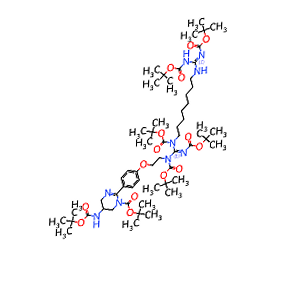 CC(C)(C)OC(=O)/N=C(/NCCCCCCCCN(C(=O)OC(C)(C)C)/C(=N\C(=O)OC(C)(C)C)N(CCOc1ccc(C2=NCC(NC(=O)OC(C)(C)C)CN2C(=O)OC(C)(C)C)cc1)C(=O)OC(C)(C)C)NC(=O)OC(C)(C)C